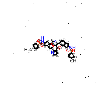 Cc1ccc(S(=O)(=O)NC2Cc3ccc(-c4ncccc4C(=O)c4cccnc4-c4ccc5c(c4)CC(NS(=O)(=O)c4ccc(C)cc4)C5)cc3C2)cc1